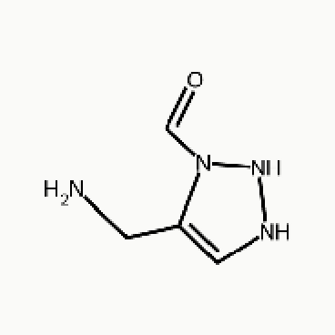 NCC1=CNNN1C=O